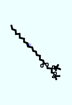 CCCCCCCC/C=C/CCCCCCCC(=O)OCC(CO[Si](C)(C)C)O[Si](C)(C)C